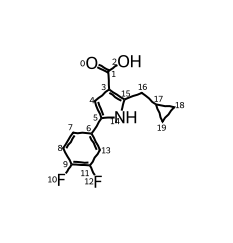 O=C(O)c1cc(-c2ccc(F)c(F)c2)[nH]c1CC1CC1